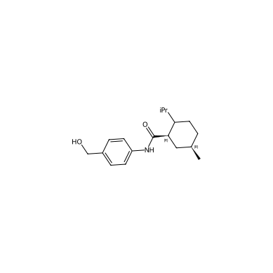 CC(C)C1CC[C@@H](C)C[C@H]1C(=O)Nc1ccc(CO)cc1